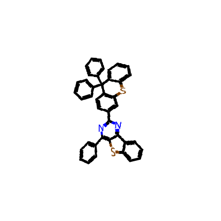 c1ccc(-c2nc(-c3ccc4c(c3)Sc3ccccc3C4(c3ccccc3)c3ccccc3)nc3c2sc2ccccc23)cc1